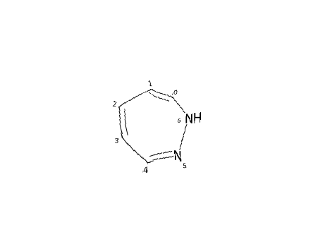 [C]1=CC=CC=NN1